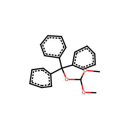 CO[C](OC)OC(c1ccccc1)(c1ccccc1)c1ccccc1